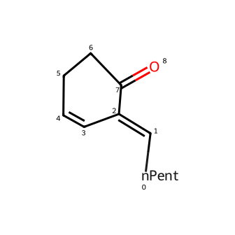 CCCCCC=C1C=CCCC1=O